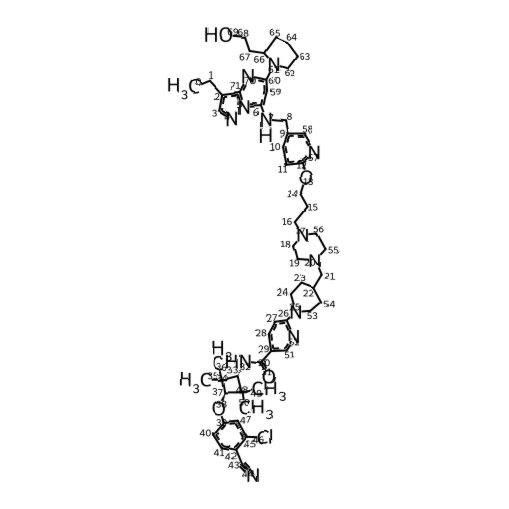 CCc1cnn2c(NCc3ccc(OCCCN4CCN(CC5CCN(c6ccc(C(=O)N[C@H]7C(C)(C)[C@H](Oc8ccc(C#N)c(Cl)c8)C7(C)C)cn6)CC5)CC4)nc3)cc(N3CCCCC3CCO)nc12